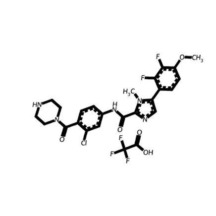 COc1ccc(-c2cnc(C(=O)Nc3ccc(C(=O)N4CCNCC4)c(Cl)c3)n2C)c(F)c1F.O=C(O)C(F)(F)F